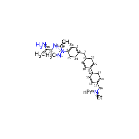 C=NN(C1=CC=C(CC2C=CC(C3C=CC(CN(CC)CCC)=CC3)=CC2)CC1)/C(C)=N\CC(=C)N